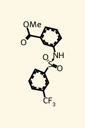 COC(=O)c1cccc(NS(=O)(=O)c2cccc(C(F)(F)F)c2)c1